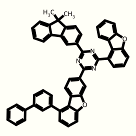 CC1(C)c2ccccc2-c2cc(-c3nc(-c4ccc5c(c4)oc4cccc(-c6cccc(-c7ccccc7)c6)c45)nc(-c4cccc5oc6ccccc6c45)n3)ccc21